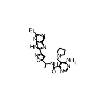 CCc1ncc2nc(-c3cc(C(C)NC(=O)c4ncnc(N)c4CN4CCCC4)on3)[nH]c2n1